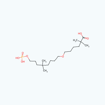 CC(C)(CCCCOCCCCC(C)(C)C(=O)O)CCCOP(=O)(O)O